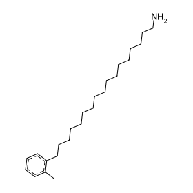 Cc1ccccc1CCCCCCCCCCCCCCCCCN